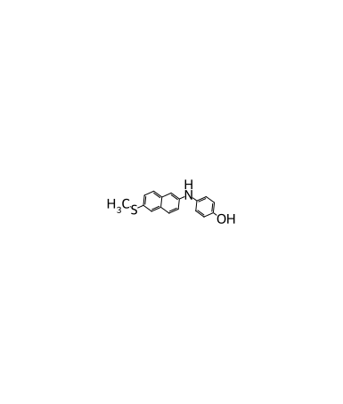 CSc1ccc2cc(Nc3ccc(O)cc3)ccc2c1